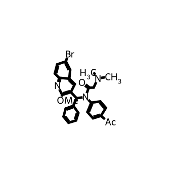 COc1nc2ccc(Br)cc2cc1C(c1ccccc1)N(C(=O)CN(C)C)c1ccc(C(C)=O)cc1